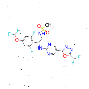 CS(=O)(=O)NCC(Nc1ncc(-c2nnc(C(F)F)o2)cn1)c1c(F)cc(OC(F)F)cc1F